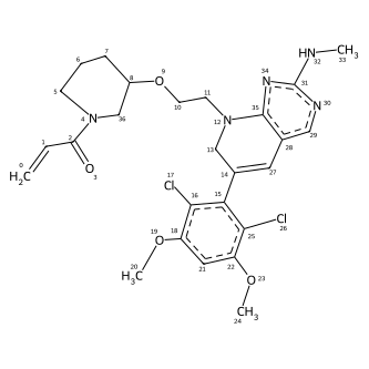 C=CC(=O)N1CCCC(OCCN2CC(c3c(Cl)c(OC)cc(OC)c3Cl)=Cc3cnc(NC)nc32)C1